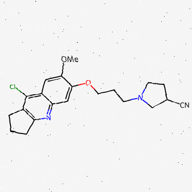 COc1cc2c(Cl)c3c(nc2cc1OCCCN1CCC(C#N)C1)CCC3